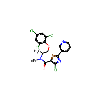 CCCN(C(=O)c1sc(-c2cccnc2)nc1Cl)C(C)COc1c(Cl)cc(Cl)cc1Cl